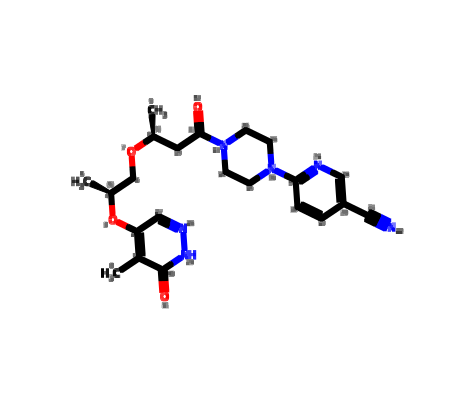 Cc1c(O[C@@H](C)CO[C@@H](C)CC(=O)N2CCN(c3ccc(C#N)cn3)CC2)cn[nH]c1=O